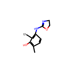 CCc1c(NC2=NCCO2)ccc(C)c1O